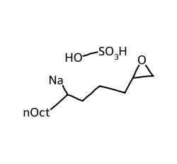 CCCCCCCC[CH]([Na])CCCC1CO1.O=S(=O)(O)O